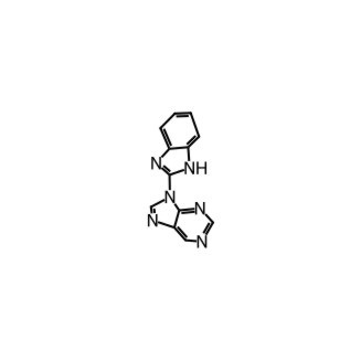 c1ccc2[nH]c(-n3cnc4cncnc43)nc2c1